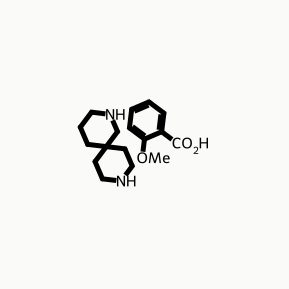 C1CNCC2(C1)CCNCC2.COc1ccccc1C(=O)O